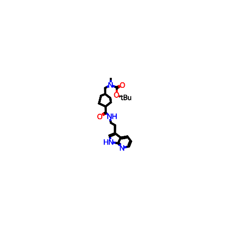 CN(CC1CCC(C(=O)NCCc2c[nH]c3ncccc23)CC1)C(=O)OC(C)(C)C